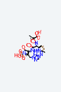 C[C@H](O/N=C(\C(=O)N[C@@H]1C(=O)N(S(=O)(=O)O)[C@@H]1Cn1cncn1)C1=CSC(C)(N)N1)C(=O)O